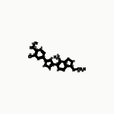 Cc1c(-c2noc(-c3cnc(NC(C)C)c(Cl)c3)n2)ccc2c1CCC2CC(=O)O